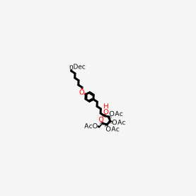 CCCCCCCCCCCCCCCCOc1ccc(CCCC[C@@]2(O)O[C@H](COC(C)=O)[C@@H](OC(C)=O)[C@H](OC(C)=O)[C@H]2OC(C)=O)cc1